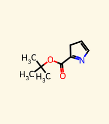 CC(C)(C)OC(=O)C1=NC=CC1